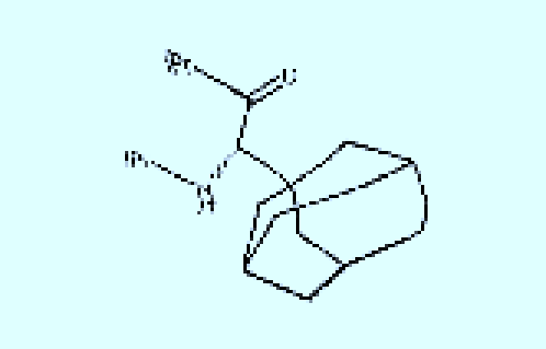 CC(C)N[C@H](C(=O)C(C)C)C12CC3CC(CC(C3)C1)C2